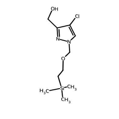 C[Si](C)(C)CCOCn1cc(Cl)c(CO)n1